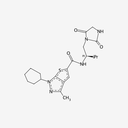 Cc1nn(C2CCCCC2)c2sc(C(=O)N[C@@H](CN3C(=O)CNC3=O)C(C)C)cc12